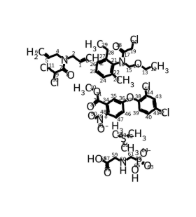 C=CCN(CC=C)C(=O)C(Cl)Cl.CCOCN(C(=O)CCl)c1c(C)cccc1CC.COC(=O)c1cc(Oc2ccc(Cl)cc2Cl)ccc1[N+](=O)[O-].C[S+](C)C.O=C(O)CNCP(=O)([O-])O